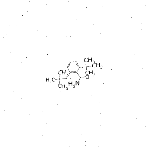 CC(C)(C)Cc1cccc(C(C)(C)C)c1C(N)=O